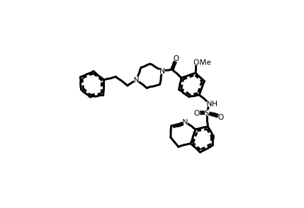 COc1cc(NS(=O)(=O)c2cccc3c2N=CCC3)ccc1C(=O)N1CCN(CCc2ccccc2)CC1